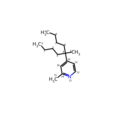 CCCCC(C)(CCCC)c1ccnc(C)c1